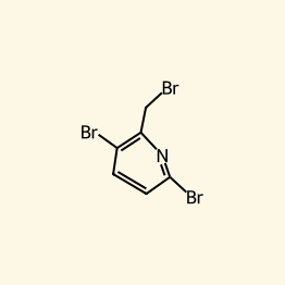 BrCc1nc(Br)ccc1Br